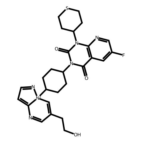 O=c1c2cc(F)cnc2n(C2CCSCC2)c(=O)n1C1CCC([N+]23C=C(CCO)C=NC2=CC=N3)CC1